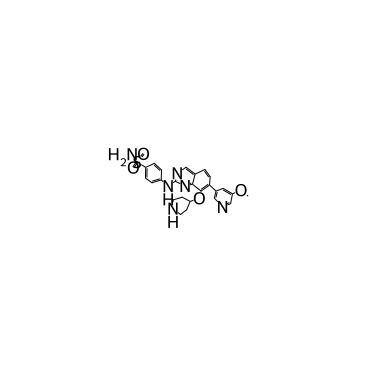 COc1cncc(-c2ccc3cnc(Nc4ccc(S(N)(=O)=O)cc4)nc3c2OC2CCNCC2)c1